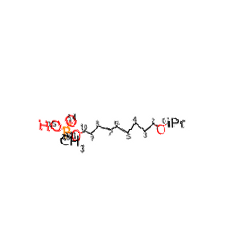 CC(C)OCCCCCCCCCOP(C)(=O)O